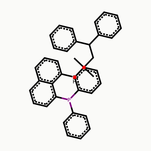 CC(C)(CC(c1ccccc1)c1ccccc1)[SiH2]c1cccc2cccc(P(c3ccccc3)c3ccccc3)c12